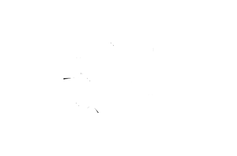 Cc1c(-c2c(O)cccc2F)c(Cl)cc2c3c(cnc12)OC[C@H]1CN[C@H](C)CN31